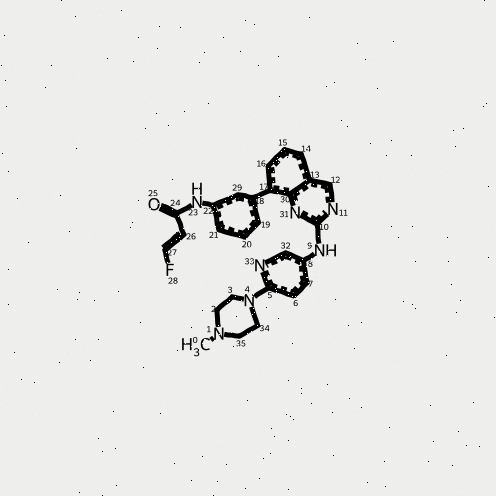 CN1CCN(c2ccc(Nc3ncc4cccc(-c5cccc(NC(=O)/C=C/F)c5)c4n3)cn2)CC1